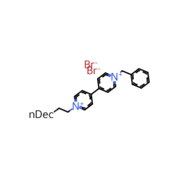 CCCCCCCCCCCC[n+]1ccc(-c2cc[n+](Cc3ccccc3)cc2)cc1.[Br-].[Br-]